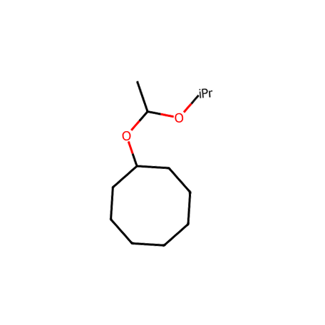 CC(C)OC(C)OC1CCCCCCC1